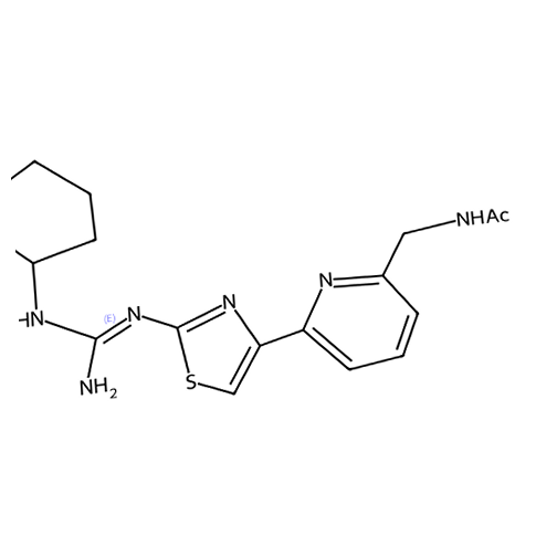 CC(=O)NCc1cccc(-c2csc(/N=C(\N)NC3CCCCC3)n2)n1